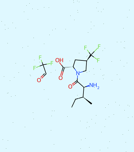 CC[C@H](C)[C@H](N)C(=O)N1C[C@H](C(F)(F)F)C[C@H]1C(=O)O.O=CC(F)(F)F